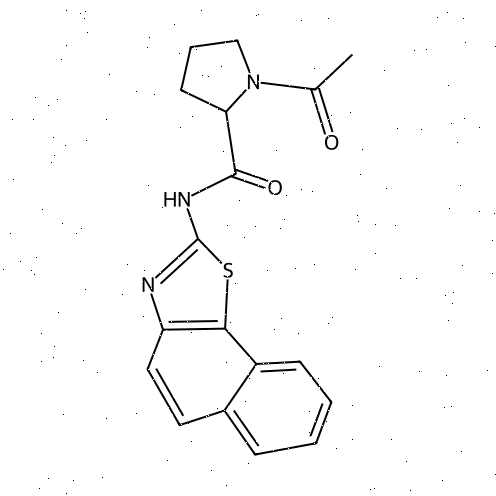 CC(=O)N1CCCC1C(=O)Nc1nc2ccc3ccccc3c2s1